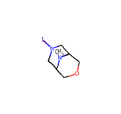 CN1C2COCC1CN(I)C2